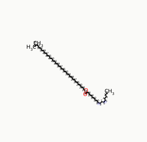 CCCCC/C=C\C/C=C\CCCCCCCC(=O)OCCCCCCCCCCCCCCCCCCCCCCCCCCCCCCCCCCC(C)C